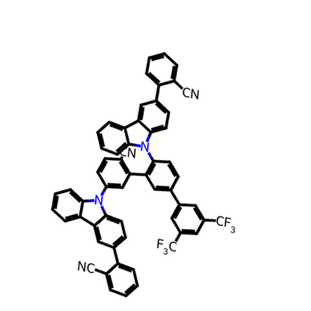 N#Cc1ccccc1-c1ccc2c(c1)c1ccccc1n2-c1ccc(C#N)c(-c2cc(-c3cc(C(F)(F)F)cc(C(F)(F)F)c3)ccc2-n2c3ccccc3c3cc(-c4ccccc4C#N)ccc32)c1